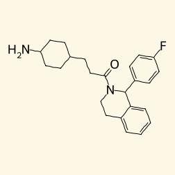 NC1CCC(CCC(=O)N2CCc3ccccc3C2c2ccc(F)cc2)CC1